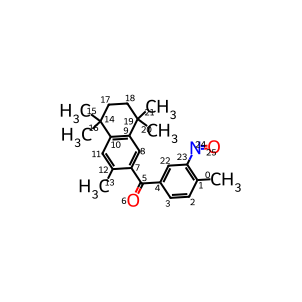 Cc1ccc(C(=O)c2cc3c(cc2C)C(C)(C)CCC3(C)C)cc1N=O